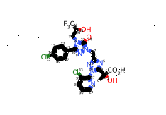 CC(O)(C(=O)O)c1nc(Cn2nc(-c3ccc(Cl)cc3)n(CC(O)C(F)(F)F)c2=O)nn1-c1ncccc1Cl